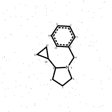 c1ccc(CN2CCCC2C2CC2)cc1